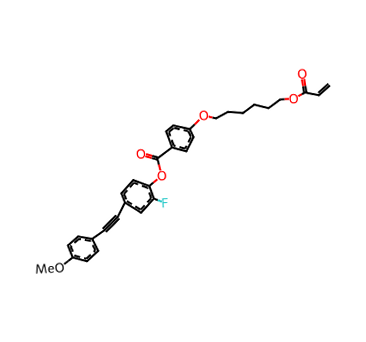 C=CC(=O)OCCCCCCOc1ccc(C(=O)Oc2ccc(C#Cc3ccc(OC)cc3)cc2F)cc1